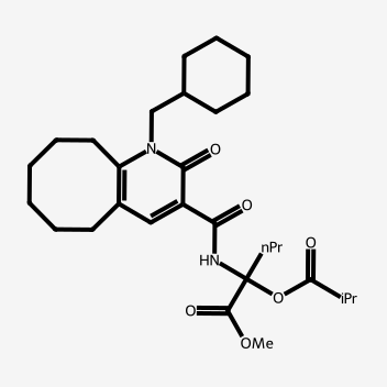 CCCC(NC(=O)c1cc2c(n(CC3CCCCC3)c1=O)CCCCCC2)(OC(=O)C(C)C)C(=O)OC